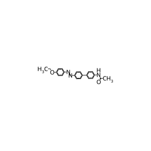 CCOc1ccc(N=Nc2ccc(-c3ccc(NC(C)=O)cc3)cc2)cc1